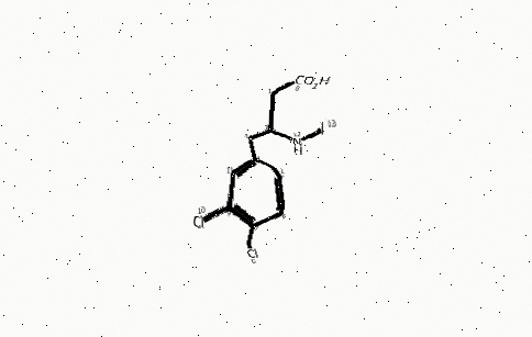 O=C(O)CC(Cc1ccc(Cl)c(Cl)c1)NI